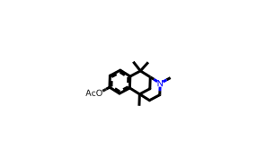 CC(=O)Oc1ccc2c(c1)C1(C)CCN(C)C(C1)C2(C)C